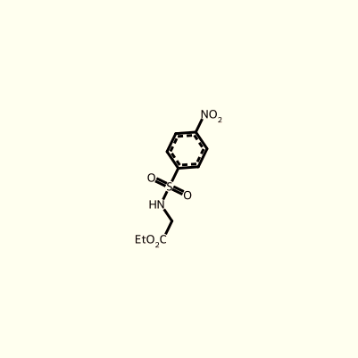 CCOC(=O)CNS(=O)(=O)c1ccc([N+](=O)[O-])cc1